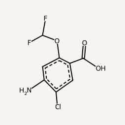 Nc1cc(OC(F)F)c(C(=O)O)cc1Cl